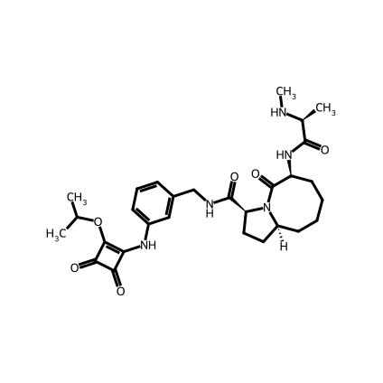 CN[C@@H](C)C(=O)N[C@H]1CCCC[C@H]2CC[C@@H](C(=O)NCc3cccc(Nc4c(OC(C)C)c(=O)c4=O)c3)N2C1=O